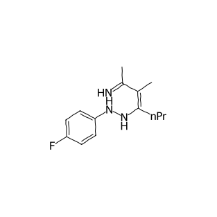 CCCC(NNc1ccc(F)cc1)=C(C)C(C)=N